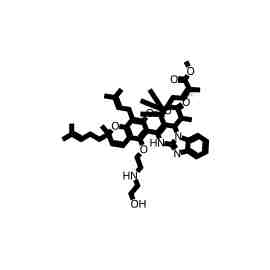 COC(=O)/C(C)=C\CC12OC(C)(C)C(C)C13Oc1c(CC=C(C)C)c4c(c(OCCNCCO)c1C1=C3C(C(C)C2=O)n2c(nc3ccccc32)N1)C=CC(C)(CCC=C(C)C)O4